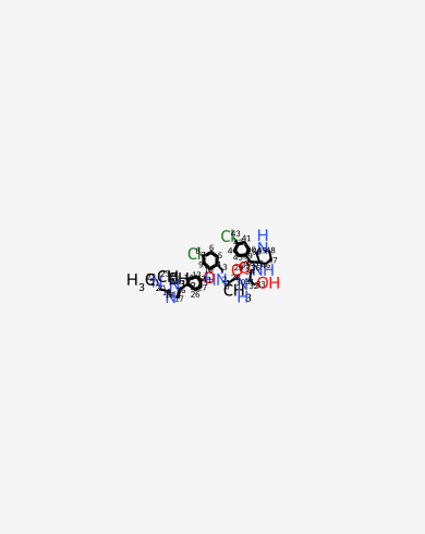 CC(NCc1ccc(Cl)cc1Oc1ccc(-c2cnc(CN(C)C)n2C)cc1)C(=O)NC(CO)C(=O)NC1(Cc2ccc(Cl)cc2)CCCNC1